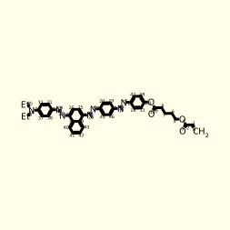 C=CC(=O)OCCCCC(=O)Oc1ccc(/N=N/c2ccc(/N=N/c3ccc(/N=N/c4ccc(N(CC)CC)cc4)c4ccccc34)cc2)cc1